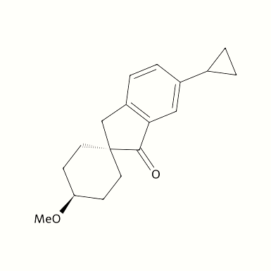 CO[C@H]1CC[C@]2(CC1)Cc1ccc(C3CC3)cc1C2=O